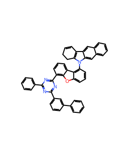 C1=Cc2c(n(-c3cccc4oc5c(-c6nc(-c7ccccc7)nc(-c7cccc(-c8ccccc8)c7)n6)cccc5c34)c3cc4ccccc4cc23)CC1